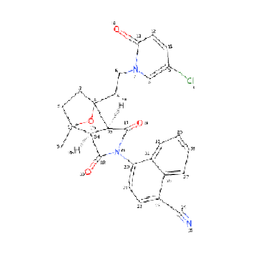 CC12CCC(CCn3cc(Cl)ccc3=O)(O1)[C@H]1C(=O)N(c3ccc(C#N)c4ccccc34)C(=O)[C@H]12